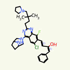 CC(C)(CCc1nc(N2CC3CCC(C2)N3)c2cc(Cl)c(/C=C/C(O)=C\c3ccccc3)c(F)c2n1)CN1CCCC1